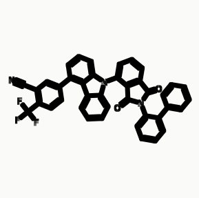 N#Cc1cc(-c2cccc3c2c2ccccc2n3-c2cccc3c2C(=O)N(c2ccccc2-c2ccccc2)C3=O)ccc1C(F)(F)F